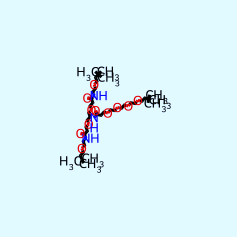 CC(C)(C)CCOCCNC(=O)CCOCC(COCCC(=O)NCCOCCC(C)(C)C)NC(=O)CCOCCOCCOCCOCCC(C)(C)C